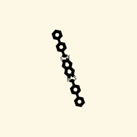 c1ccc(-c2ccc(-c3nc4cc5cc6sc(-c7ccc(-c8ccccc8)cc7)nc6cc5cc4s3)cc2)cc1